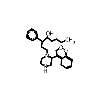 CCCCC(O)C(CCN1CCNCC1C1=C2CC=CC=C2OOC1)c1ccccc1